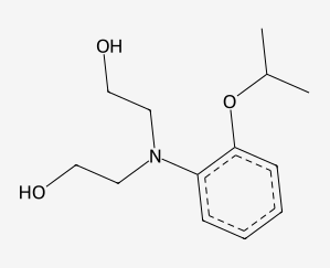 CC(C)Oc1ccccc1N(CCO)CCO